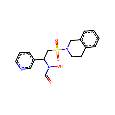 O=CN(O)C(CS(=O)(=O)N1CCc2ccccc2C1)c1cccnc1